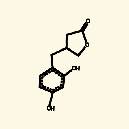 O=C1CC(Cc2ccc(O)cc2O)CO1